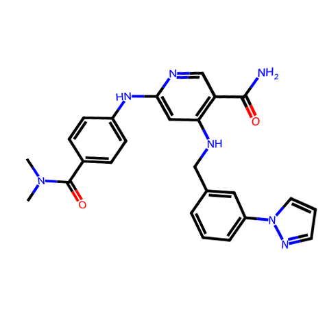 CN(C)C(=O)c1ccc(Nc2cc(NCc3cccc(-n4cccn4)c3)c(C(N)=O)cn2)cc1